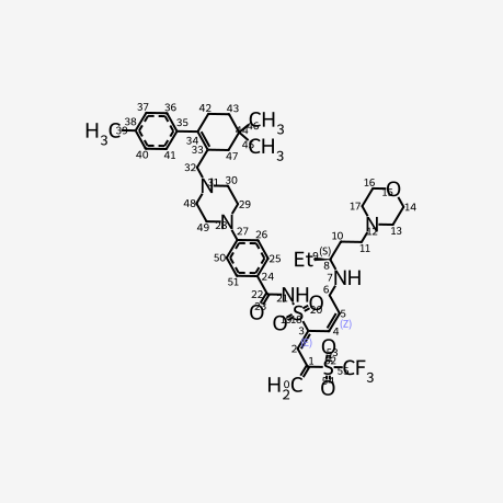 C=C(/C=C(\C=C/CN[C@@H](CC)CCN1CCOCC1)S(=O)(=O)NC(=O)c1ccc(N2CCN(CC3=C(c4ccc(C)cc4)CCC(C)(C)C3)CC2)cc1)S(=O)(=O)C(F)(F)F